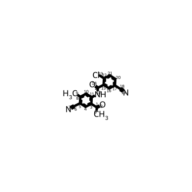 CC(=O)c1cc(C#N)c(C)cc1NC(=O)c1cc(C#N)ccc1Cl